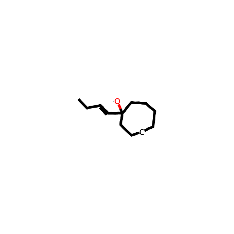 CCC=CC1([O])CCCCCCC1